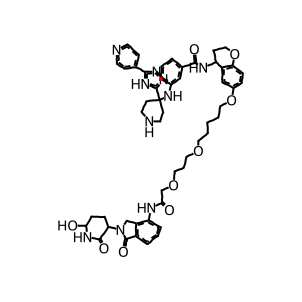 O=C(COCCCOCCCCCOc1ccc2c(c1)C(NC(=O)c1cccc(NC3(c4nnc(-c5ccncc5)[nH]4)CCNCC3)c1)CCO2)Nc1cccc2c1CN(C1CCC(O)NC1=O)C2=O